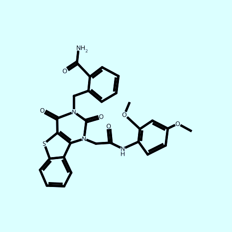 COc1ccc(NC(=O)Cn2c(=O)n(Cc3ccccc3C(N)=O)c(=O)c3sc4ccccc4c32)c(OC)c1